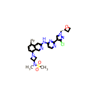 CC(C)c1ccc(N2CC(N(C)S(C)(=O)=O)C2)c2cnc(Nc3ccnc(-c4cn(C[C@H]5CCO5)nc4Cl)n3)cc12